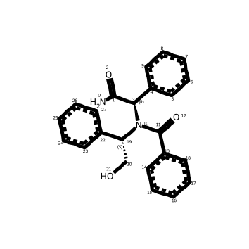 NC(=O)[C@@H](c1ccccc1)N(C(=O)c1ccccc1)[C@H](CO)c1ccccc1